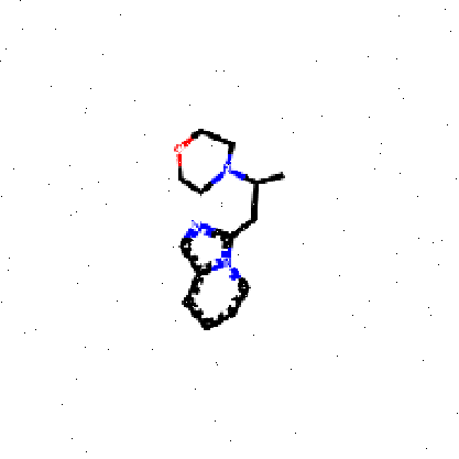 CC(Cc1ncc2ccccn12)N1CCOCC1